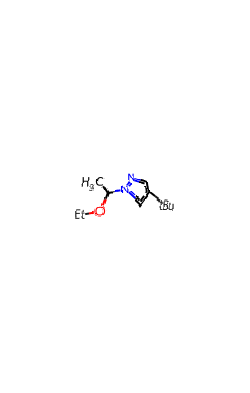 CCOC(C)n1cc(C(C)(C)C)cn1